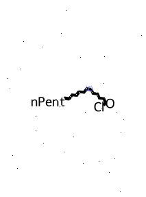 CCCCCC=CCC=CC/C=C\CCCCC(=O)Cl